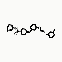 Cc1cccc(OCCOc2cccc(C=C3CCN(C(=O)Nc4cccnc4)CC3)c2)c1